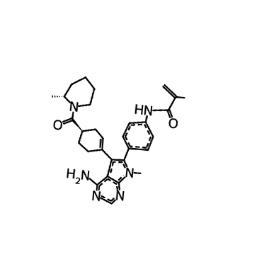 C=C(C)C(=O)Nc1ccc(-c2c(C3=CC[C@H](C(=O)N4CCCC[C@H]4C)CC3)c3c(N)ncnc3n2C)cc1